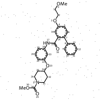 COCCOc1ccc(-c2ccccc2)c(C(=O)Nc2cccc(OC3CCN(C(=O)OC)CC3)c2)c1